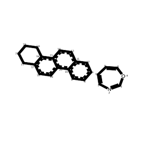 C1=CN=COC=C1.c1ccc2c(c1)ccc1c3c(ccc12)CCCC3